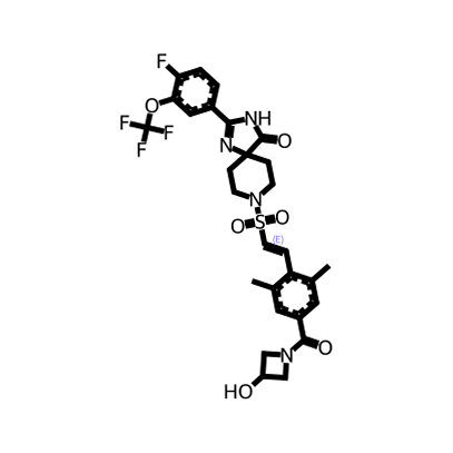 Cc1cc(C(=O)N2CC(O)C2)cc(C)c1/C=C/S(=O)(=O)N1CCC2(CC1)N=C(c1ccc(F)c(OC(F)(F)F)c1)NC2=O